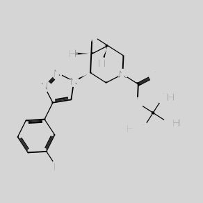 CC(C)(C)OC(=O)N1C[C@@H](n2cc(-c3cccc(F)c3)nn2)[C@@H]2O[C@@H]2C1